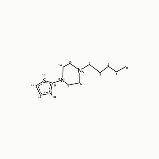 CCCCCN1CCN(c2nccs2)CC1